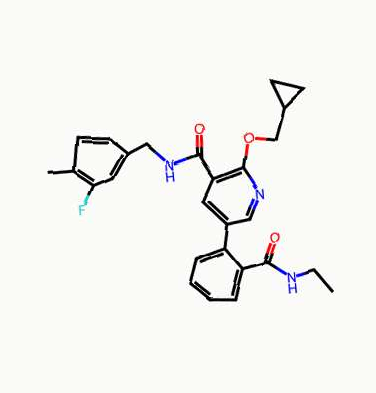 CCNC(=O)c1ccccc1-c1cnc(OCC2CC2)c(C(=O)NCc2ccc(C)c(F)c2)c1